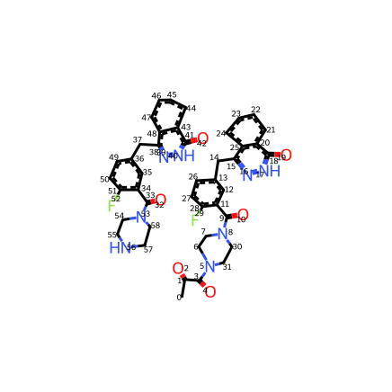 CC(=O)C(=O)N1CCN(C(=O)c2cc(Cc3n[nH]c(=O)c4ccccc34)ccc2F)CC1.O=C(c1cc(Cc2n[nH]c(=O)c3ccccc23)ccc1F)N1CCNCC1